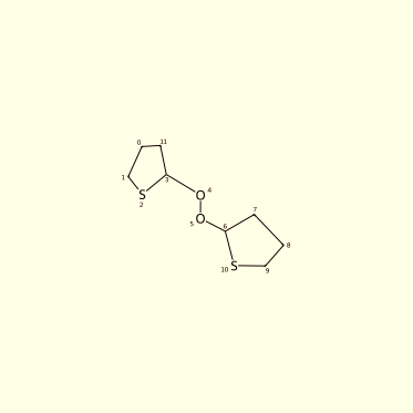 C1CSC(OOC2CCCS2)C1